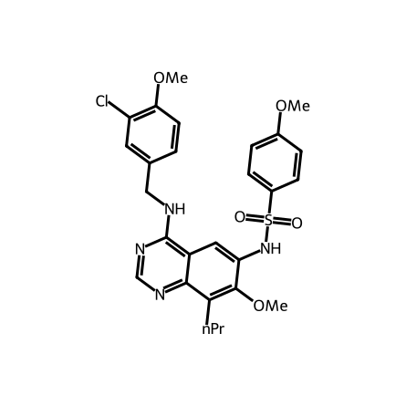 CCCc1c(OC)c(NS(=O)(=O)c2ccc(OC)cc2)cc2c(NCc3ccc(OC)c(Cl)c3)ncnc12